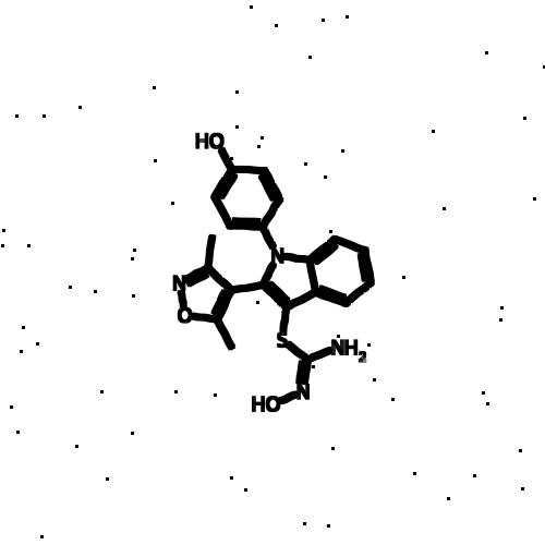 Cc1noc(C)c1-c1c(S/C(N)=N\O)c2ccccc2n1-c1ccc(O)cc1